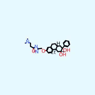 CC[C@@]12C[C@@](C)(O)[C@](O)(c3ccccc3)C[C@H]1CCc1cc(OCc3noc(CCN(C)C)n3)ccc12